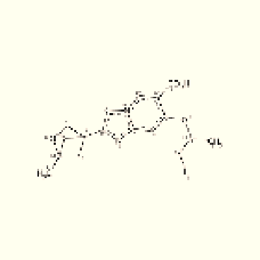 C[C@H](CF)Oc1cc2nc(C34COC(C)(C3)C4)cn2cc1C(=O)O